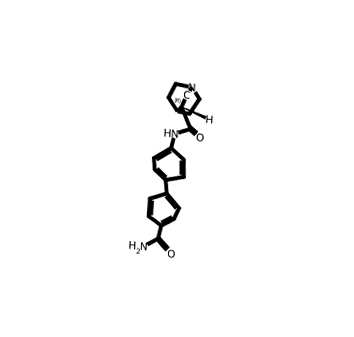 NC(=O)c1ccc(-c2ccc(NC(=O)[C@H]3CN4CCC3CC4)cc2)cc1